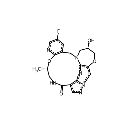 C[C@H]1CNC(=O)c2cnn3cc4c(nc23)N(Cc2cc(F)cnc2O1)C[C@@H](O)CO4